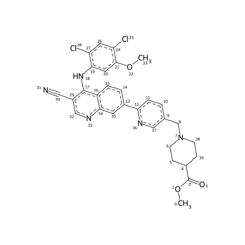 COC(=O)C1CCN(Cc2ccc(-c3ccc4c(Nc5cc(OC)c(Cl)cc5Cl)c(C#N)cnc4c3)nc2)CC1